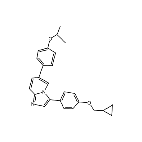 CC(C)Oc1ccc(-c2ccc3ncc(-c4ccc(OCC5CC5)cc4)n3c2)cc1